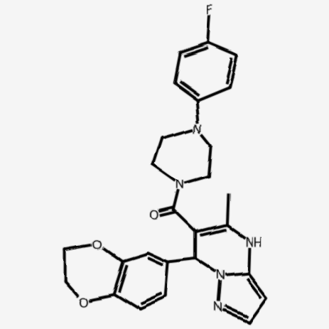 CC1=C(C(=O)N2CCN(c3ccc(F)cc3)CC2)C(c2ccc3c(c2)OCCO3)n2nccc2N1